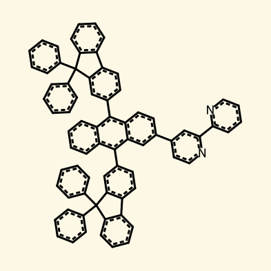 c1ccc(C2(c3ccccc3)c3ccccc3-c3ccc(-c4c5ccccc5c(-c5ccc6c(c5)C(c5ccccc5)(c5ccccc5)c5ccccc5-6)c5cc(-c6ccnc(-c7ccccn7)c6)ccc45)cc32)cc1